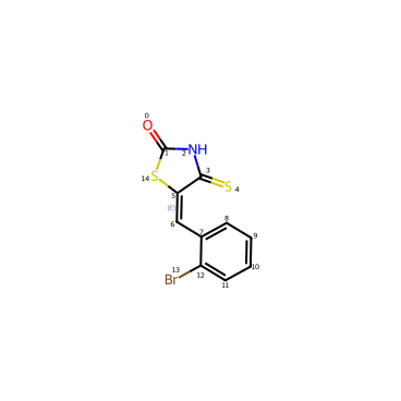 O=C1NC(=S)/C(=C\c2ccccc2Br)S1